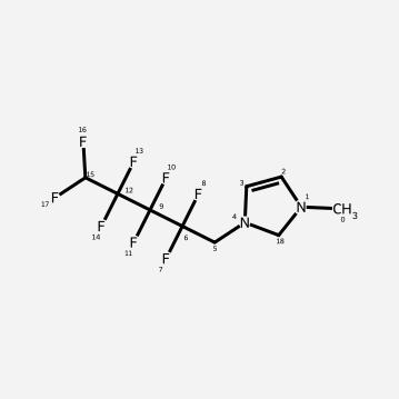 CN1C=CN(CC(F)(F)C(F)(F)C(F)(F)C(F)F)C1